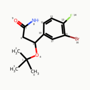 CC(C)(C)OC(CC([NH])=O)c1ccc(F)c(Br)c1